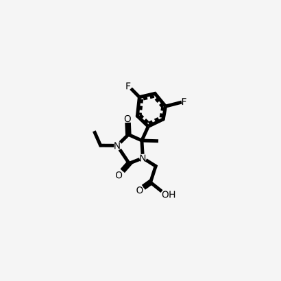 CCN1C(=O)N(CC(=O)O)C(C)(c2cc(F)cc(F)c2)C1=O